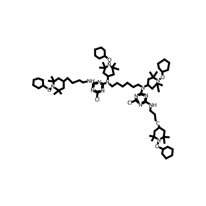 CC1(C)CC(CCCCNc2nc(Cl)nc(N(CCCCCCN(c3nc(Cl)nc(NCCCCC4CC(C)(C)N(OC5CCCCC5)C(C)(C)C4)n3)C3CC(C)(C)N(OC4CCCCC4)C(C)(C)C3)C3CC(C)(C)N(OC4CCCCC4)C(C)(C)C3)n2)CC(C)(C)N1OC1CCCCC1